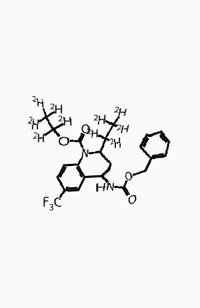 [2H]C([2H])([2H])C([2H])([2H])OC(=O)N1c2ccc(C(F)(F)F)cc2C(NC(=O)OCc2ccccc2)CC1C([2H])([2H])C([2H])([2H])[2H]